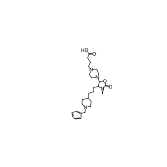 CN1C(=O)OC(N2CCN(CCCC(=O)O)CC2)C1CCCC1CCN(Cc2ccccc2)CC1